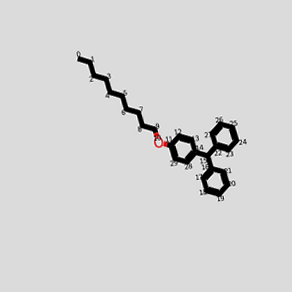 CCCCCCCCCCOc1ccc(C(c2ccccc2)c2ccccc2)cc1